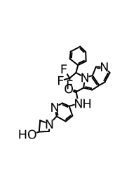 O=C(Nc1ccc(N2CC(O)C2)nc1)c1cc2ccncc2n1C(c1ccccc1)C(F)(F)F